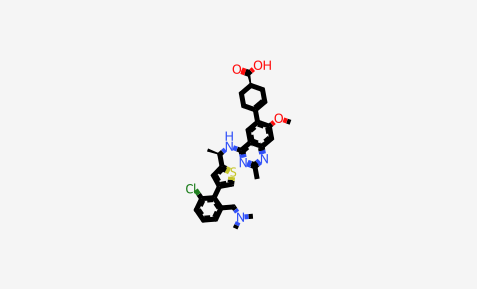 COc1cc2nc(C)nc(N[C@H](C)c3cc(-c4c(Cl)cccc4CN(C)C)cs3)c2cc1C1=CC[C@H](C(=O)O)CC1